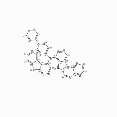 c1ccc(-c2ccc(N(c3cccc4c3sc3ccc5ccccc5c34)c3cccc4sc5ccccc5c34)cc2)cc1